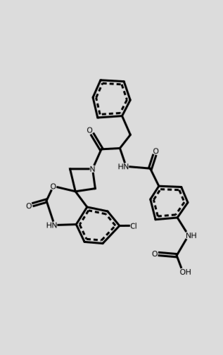 O=C(O)Nc1ccc(C(=O)NC(Cc2ccccc2)C(=O)N2CC3(C2)OC(=O)Nc2ccc(Cl)cc23)cc1